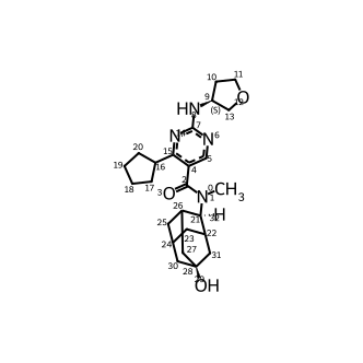 CN(C(=O)c1cnc(N[C@H]2CCOC2)nc1C1CCCC1)[C@H]1C2CC3CC1C[C@@](O)(C3)C2